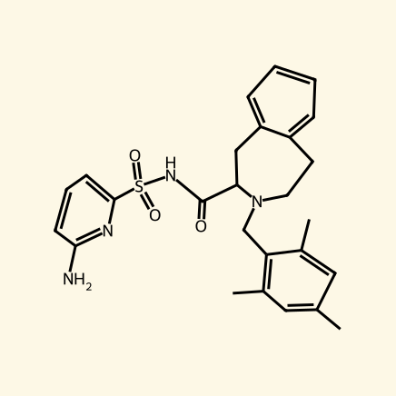 Cc1cc(C)c(CN2CCc3ccccc3CC2C(=O)NS(=O)(=O)c2cccc(N)n2)c(C)c1